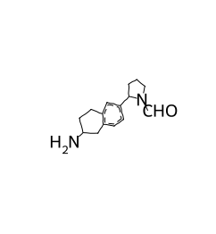 NC1CCc2cc(C3CCCN3C=O)ccc2C1